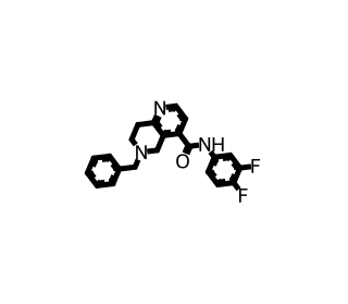 O=C(Nc1ccc(F)c(F)c1)c1ccnc2c1CN(Cc1ccccc1)CC2